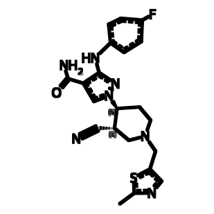 Cc1ncc(CN2CC[C@H](n3cc(C(N)=O)c(Nc4ccc(F)cc4)n3)[C@@H](C#N)C2)s1